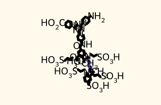 CC1(CCCS(=O)(=O)O)C(/C=C/C=C2/N(CCCS(=O)(=O)O)c3cc(C(=O)NC4CCN(c5nc(N6CCC(N)CC6)nc(N6CCC(C(=O)O)CC6)n5)CC4)cc(C(=O)OCCCS(=O)(=O)O)c3C2(C)C)=[N+](CCCS(=O)(=O)O)c2ccc(S(=O)(=O)O)cc21